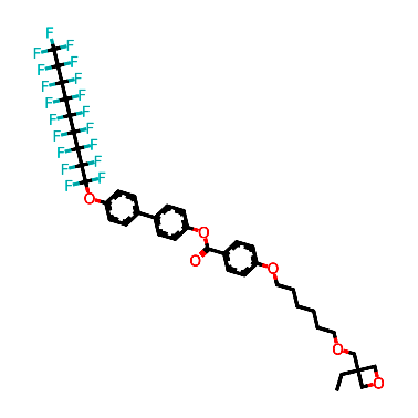 CCC1(COCCCCCCOc2ccc(C(=O)Oc3ccc(-c4ccc(OC(F)(F)C(F)(F)C(F)(F)C(F)(F)C(F)(F)C(F)(F)C(F)(F)C(F)(F)C(F)(F)F)cc4)cc3)cc2)COC1